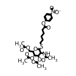 CC(=O)NC1C(OC(C)=O)[C@H](OC(C)=O)C(COC(C)=O)O[C@H]1SCCCCCC(=O)Oc1ccc([N+](=O)[O-])cc1